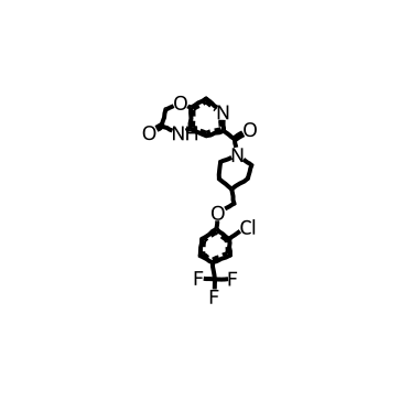 O=C1COc2cnc(C(=O)N3CCC(COc4ccc(C(F)(F)F)cc4Cl)CC3)cc2N1